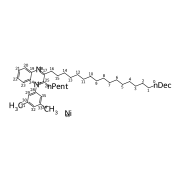 CCCCCCCCCCCCCCCCCCCCCCCCCCC(=Nc1ccccc1)C(CCCCC)=Nc1cc(C)cc(C)c1.[Ni]